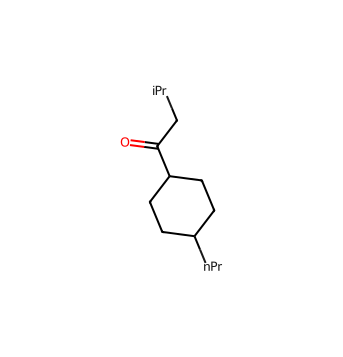 CCCC1CCC(C(=O)CC(C)C)CC1